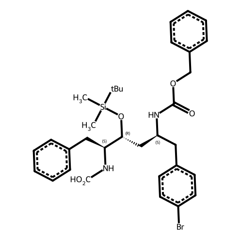 CC(C)(C)[Si](C)(C)O[C@H](C[C@H](Cc1ccc(Br)cc1)NC(=O)OCc1ccccc1)[C@H](Cc1ccccc1)NC(=O)O